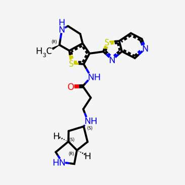 C[C@H]1NCCc2c1sc(NC(=O)CCN[C@@H]1C[C@H]3CNC[C@H]3C1)c2-c1nc2cnccc2s1